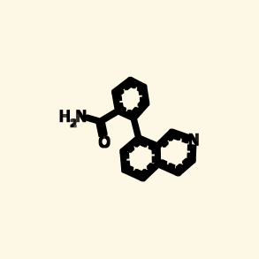 NC(=O)c1ccccc1-c1cccc2ccncc12